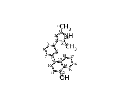 Cc1cc(-c2cccc(-c3ccc(O)c4ccccc34)n2)c(C)[nH]1